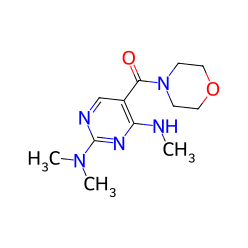 CNc1nc(N(C)C)ncc1C(=O)N1CCOCC1